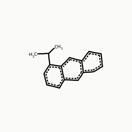 [CH2]C(C)c1cccc2cc3ccccc3cc12